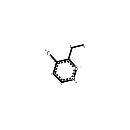 C[CH]c1nnccc1F